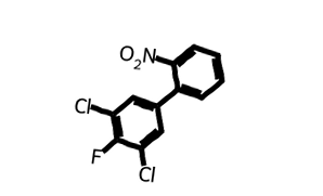 O=[N+]([O-])c1ccccc1-c1cc(Cl)c(F)c(Cl)c1